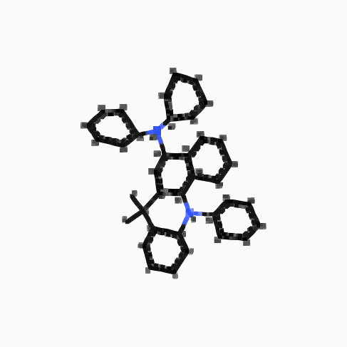 CC1(C)c2ccccc2N(c2ccccc2)c2c1cc(N(c1ccccc1)c1ccccc1)c1ccccc21